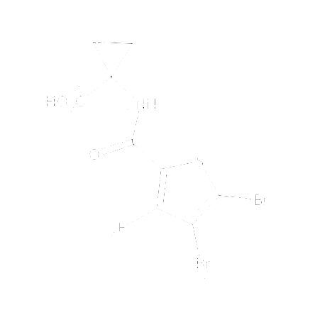 O=C(NC1(C(=O)O)CC1)c1sc(Br)c(Br)c1F